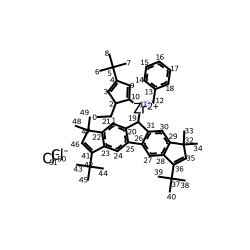 CCC1C=C(C(C)(C)C)C=[C]1/[Zr+2](=[CH]\c1ccccc1)[CH]1c2cc3c(cc2-c2cc4c(cc21)C(C)(C)C=C4C(C)(C)C)C(C(C)(C)C)=CC3(C)C.[Cl-].[Cl-]